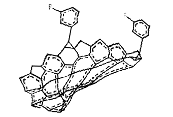 Fc1cccc(C2C3c4cc5c6c7c(cc8c9c%10c%11c%12c(cc%13cc%14c%15c(c%16c4c6c4c%16c6c%15c%13c%12c6c%10c4c79)C23C%14)CC%112C(c3cccc(F)c3)C82)C5)c1